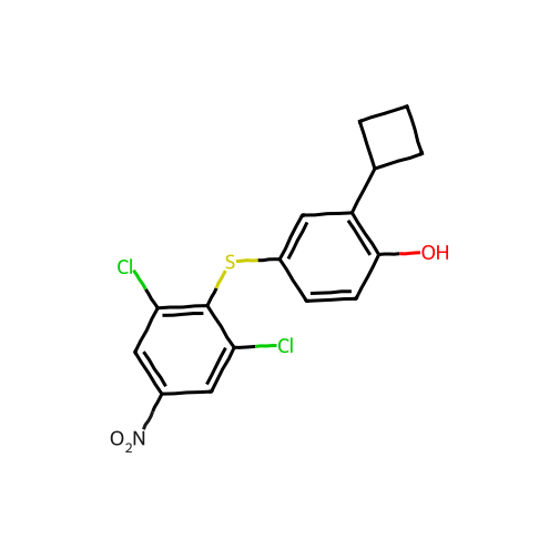 O=[N+]([O-])c1cc(Cl)c(Sc2ccc(O)c(C3CCC3)c2)c(Cl)c1